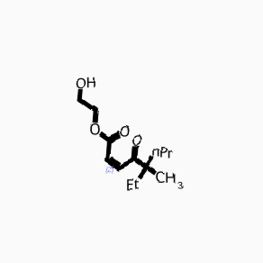 CCCC(C)(CC)C(=O)/C=C\C(=O)OCCO